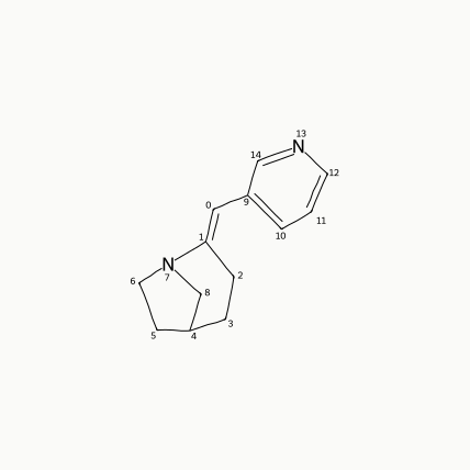 C(=C1CCC2CCN1C2)c1cccnc1